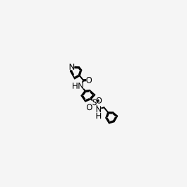 O=C(Nc1ccc(S(=O)(=O)NCc2ccccc2)cc1)c1ccncc1